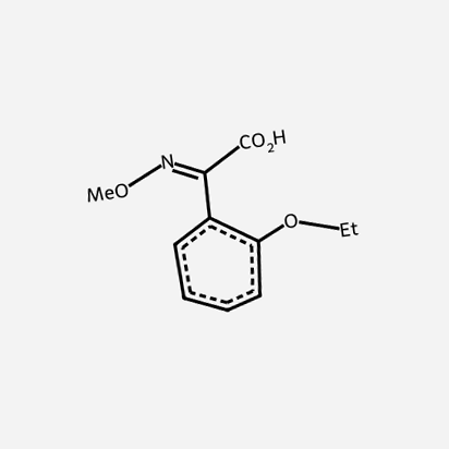 CCOc1ccccc1/C(=N\OC)C(=O)O